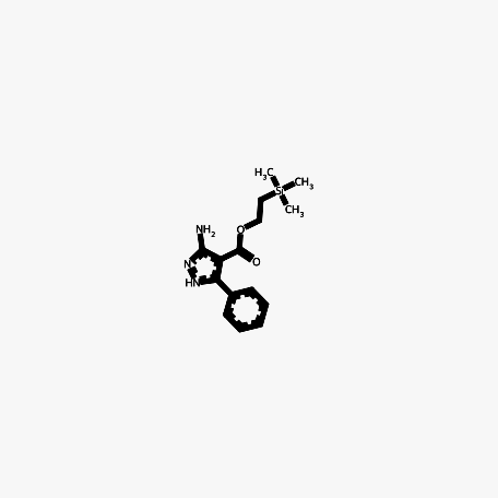 C[Si](C)(C)CCOC(=O)c1c(N)n[nH]c1-c1ccccc1